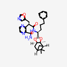 CC1(C)[C@@H]2C[C@H]3OB([C@H](CCCc4ccccc4)NC(=O)[C@H](Cc4cnco4)c4nccnc4C(N)=O)O[C@@]3(C)[C@H]1C2